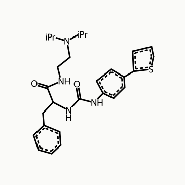 CC(C)N(CCNC(=O)C(Cc1ccccc1)NC(=O)Nc1ccc(-c2cccs2)cc1)C(C)C